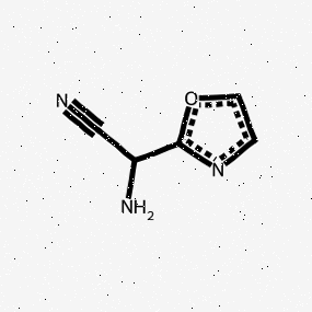 N#CC(N)c1ncco1